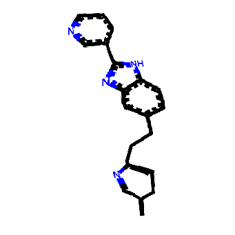 C=C1C=NC(CCc2ccc3[nH]c(-c4cccnc4)nc3c2)=CC1